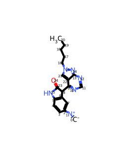 [C-]#[N+]c1ccc2c(c1)C(c1ncnc3nn(CCCCC)cc13)C(=O)N2